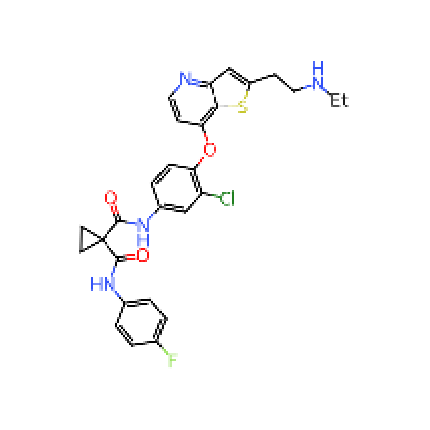 CCNCCc1cc2nccc(Oc3ccc(NC(=O)C4(C(=O)Nc5ccc(F)cc5)CC4)cc3Cl)c2s1